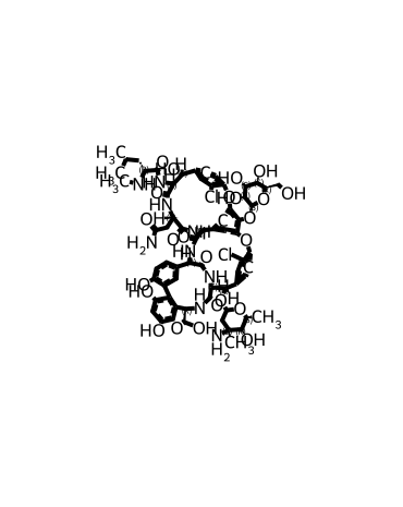 CN[C@H](CC(C)C)C(=O)N[C@H]1C(=O)N[C@@H](CC(N)=O)C(=O)N[C@H]2C(=O)N[C@H]3C(=O)N[C@H](C(=O)N[C@@H](C(=O)O)c4cc(O)cc(O)c4-c4cc3ccc4O)[C@H](OC3C[C@](C)(N)[C@@H](O)[C@H](C)O3)c3ccc(c(Cl)c3)Oc3cc2cc(c3O[C@@H]2O[C@H](CO)[C@@H](O)[C@H](O)[C@H]2O)Oc2ccc(cc2Cl)[C@H]1O